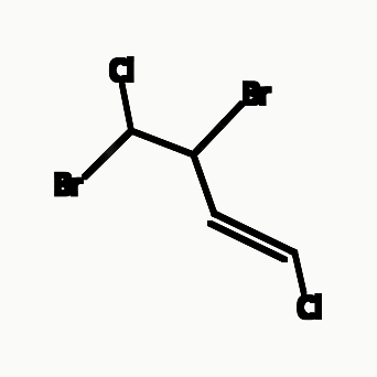 ClC=CC(Br)C(Cl)Br